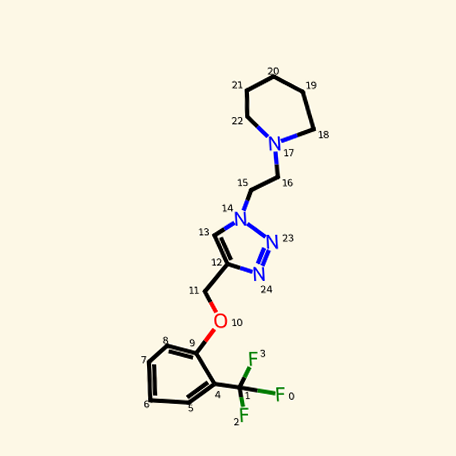 FC(F)(F)c1ccccc1OCc1cn(CCN2CCCCC2)nn1